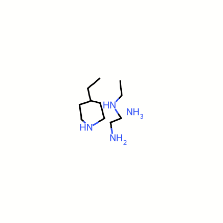 CCC1CCNCC1.CCNCCN.N